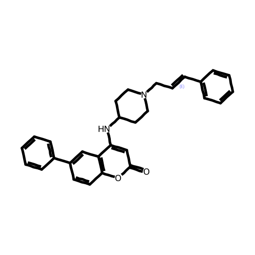 O=c1cc(NC2CCN(C/C=C/c3ccccc3)CC2)c2cc(-c3ccccc3)ccc2o1